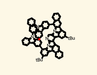 CC(C)(C)c1cc(-c2ccc3c(c2)c2ccccc2n3-c2ccccc2)c2c(c1)c1c3ccccc3cc3c4c5c6cc(C(C)(C)C)cc7c8cc9ccccc9c(-c9ccc%10c(c9)c9ccccc9n%10-c9ccccc9)c8n(c5cnc4n2c31)c76